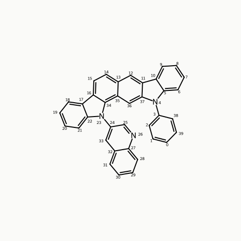 c1ccc(-n2c3ccccc3c3cc4ccc5c6ccccc6n(-c6cnc7ccccc7c6)c5c4cc32)cc1